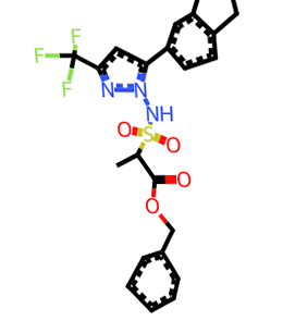 CC(C(=O)OCc1ccccc1)S(=O)(=O)Nn1nc(C(F)(F)F)cc1-c1ccc2c(c1)CCC2